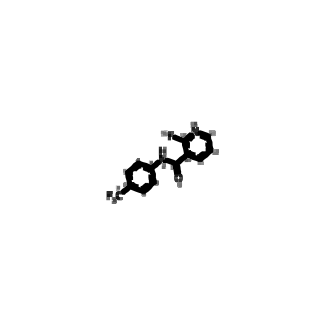 O=C(Nc1ccc(C(F)(F)F)cc1)c1cccnc1F